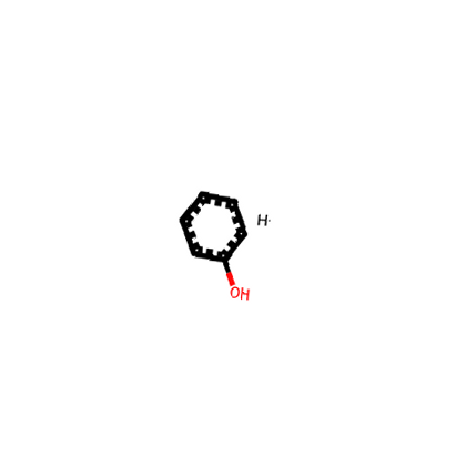 Oc1ccccc1.[H]